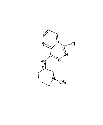 CN1CCC[C@@H](Nc2nnc(Cl)c3cccnc23)C1